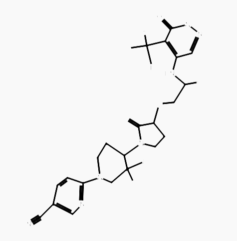 CC(COC1CCN(C2CCN(c3ccc(C#N)cn3)CC2(F)F)C1=O)Nc1cn[nH]c(=O)c1C(F)(F)F